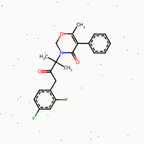 CC1=C(c2ccccc2)C(=O)N(C(C)(C)C(=O)Cc2ccc(F)cc2F)CO1